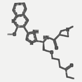 CCC(=O)CCCOC[C@H](NC(=O)C1CN(C)C1)c1ncc(-c2cc3ccccc3nc2OC)[nH]1